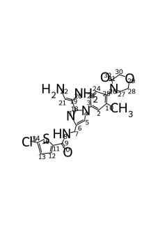 Cc1cc(-n2cc(CNC(=O)c3ccc(Cl)s3)nc2/C(N)=C/N)ccc1N1CCOCC1=O